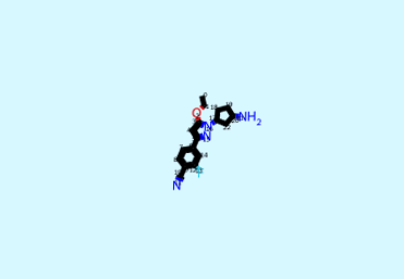 CCOc1cc(-c2ccc(C#N)c(F)c2)nn1C1CCC(N)C1